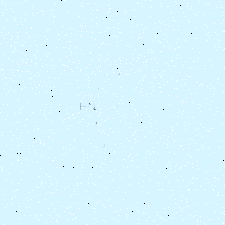 N=C1CCCCCCCCCC2CCCCCCC12